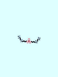 C[Si](C)(C)CC[Si](C)(C)CCCCOC(=O)OCCCC[Si](C)(C)CC[Si](C)(C)C